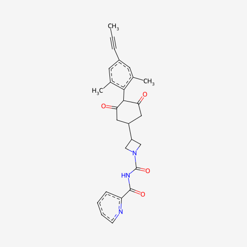 CC#Cc1cc(C)c(C2C(=O)CC(C3CN(C(=O)NC(=O)c4ccccn4)C3)CC2=O)c(C)c1